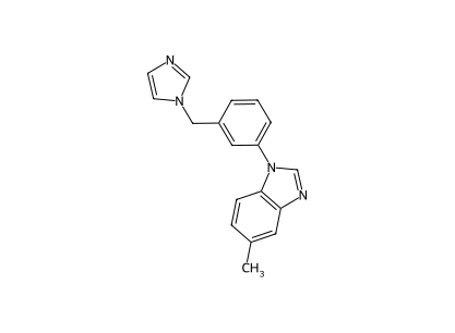 Cc1ccc2c(c1)ncn2-c1cccc(Cn2ccnc2)c1